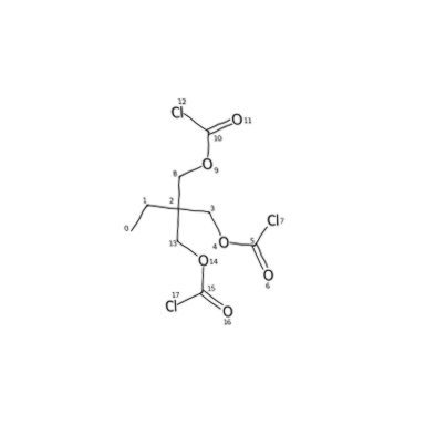 CCC(COC(=O)Cl)(COC(=O)Cl)COC(=O)Cl